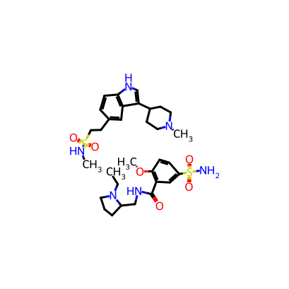 CCN1CCCC1CNC(=O)c1cc(S(N)(=O)=O)ccc1OC.CNS(=O)(=O)CCc1ccc2[nH]cc(C3CCN(C)CC3)c2c1